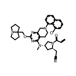 C=CC(=O)N1C[C@@H](N(C)c2nc(OCC34CCCN3CCC4)nc3c2CCN(c2cccc4cccc(Cl)c24)C3)C[C@@H]1CC#N